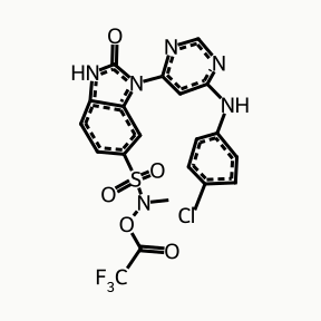 CN(OC(=O)C(F)(F)F)S(=O)(=O)c1ccc2[nH]c(=O)n(-c3cc(Nc4ccc(Cl)cc4)ncn3)c2c1